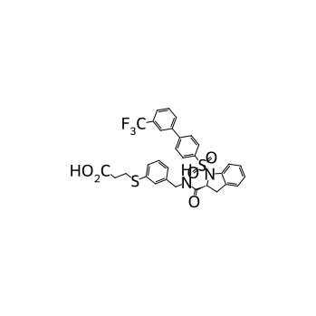 O=C(O)CCSc1cccc(CNC(=O)[C@@H]2Cc3ccccc3N2S(=O)(=O)c2ccc(-c3cccc(C(F)(F)F)c3)cc2)c1